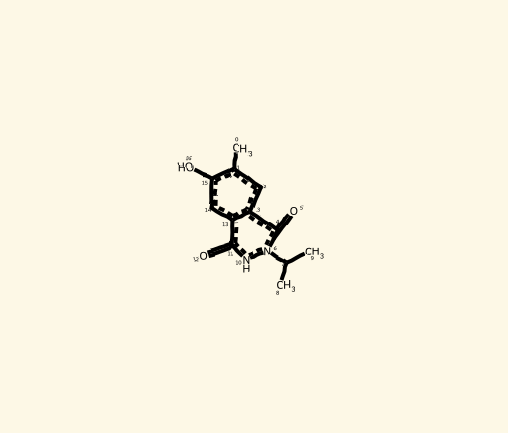 Cc1cc2c(=O)n(C(C)C)[nH]c(=O)c2cc1O